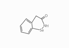 O=C1Cc2ccccc2[Se]N1